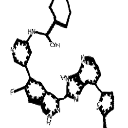 OC(Nc1cncc(-c2cc3c(-c4nc5c(-c6ccc(F)s6)ccnc5[nH]4)n[nH]c3cc2F)c1)C1CCCCC1